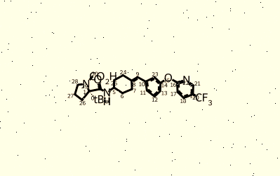 CC(C)(C)[C@]1(C(=O)NC2CCC(=Cc3cccc(Oc4ccc(C(F)(F)F)cn4)c3)CC2)CCCN1C(=O)O